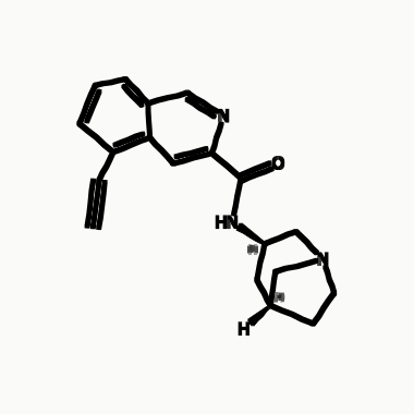 C#Cc1cccc2cnc(C(=O)N[C@@H]3C[C@H]4CCN(C4)C3)cc12